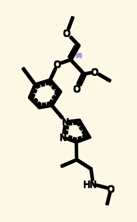 CO/C=C(\Oc1cc(-n2ccc(C(C)CNOC)n2)ccc1C)C(=O)OC